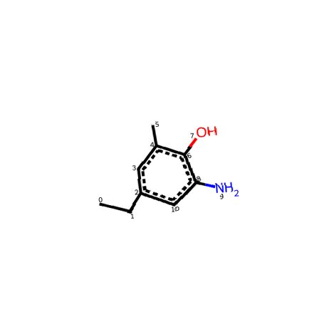 CCc1cc(C)c(O)c(N)c1